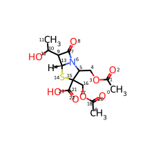 CC(=O)OCC1N2C(=O)C(C(C)O)[C@H]2SC1(COC(C)=O)C(=O)O